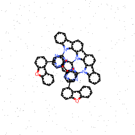 c1ccc(-c2nc(-c3cccc4oc5ccccc5c34)nc(-n3c4ccccc4c4ccc5c6ccc7c8ccccc8n(-c8nc(-c9ccccc9)nc(-c9cccc%10oc%11ccccc%11c9%10)n8)c7c6n(-c6ccccc6)c5c43)n2)cc1